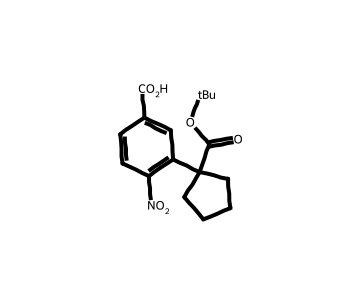 CC(C)(C)OC(=O)C1(c2cc(C(=O)O)ccc2[N+](=O)[O-])CCCC1